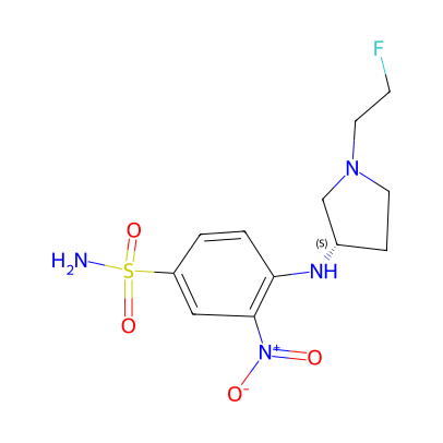 NS(=O)(=O)c1ccc(N[C@H]2CCN(CCF)C2)c([N+](=O)[O-])c1